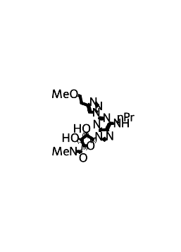 CCCNc1nc(-n2cc(CCOC)nn2)nc2c1ncn2[C@@H]1O[C@H](C(=O)NC)[C@@H](O)[C@H]1O